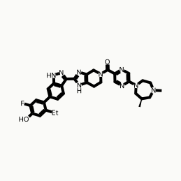 CCc1cc(O)c(F)cc1-c1ccc2c(-c3nc4c([nH]3)CCN(C(=O)c3cnc(N5CCN(C)C[C@@H](C)C5)cn3)C4)n[nH]c2c1